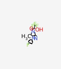 CC1CN(C(=O)C(O)C(F)(F)F)Cc2cnn(-c3ccc(F)cc3)c21